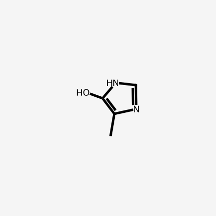 Cc1nc[nH]c1O